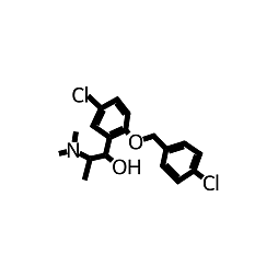 CC(C(O)c1cc(Cl)ccc1OCc1ccc(Cl)cc1)N(C)C